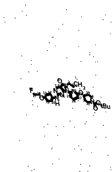 C=CCn1c(=O)c2cnc(Nc3ccc(OCCF)cc3)nc2n1-c1cccc(OC2CCN(C(=O)OC(C)(C)C)CC2)n1